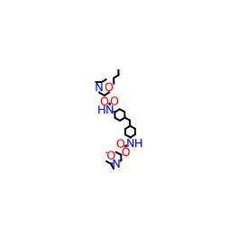 CCCCOCC(CN1CC1C)OC(=O)NC1CCC(CC2CCC(NC(=O)OC(COC)CN3CC3C)CC2)CC1